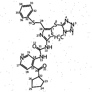 Cn1nnnc1Sc1sc(NC(=O)Nc2cnccc2C(=O)C2CCCC2)nc1CSc1ccccc1